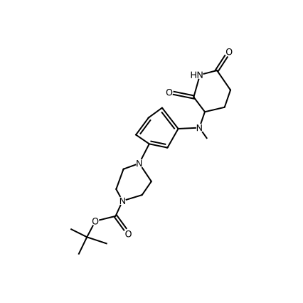 CN(c1cccc(N2CCN(C(=O)OC(C)(C)C)CC2)c1)C1CCC(=O)NC1=O